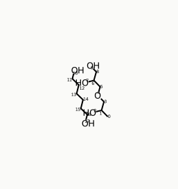 CC(O)COCC(O)CO.OCCCCCCO